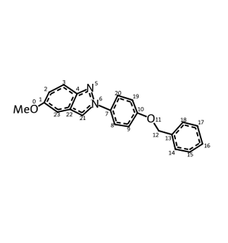 COc1ccc2nn(-c3ccc(OCc4ccccc4)cc3)cc2c1